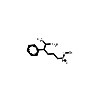 CCO[PH](=O)CCCC(c1ccccc1)C(C)C(=O)O